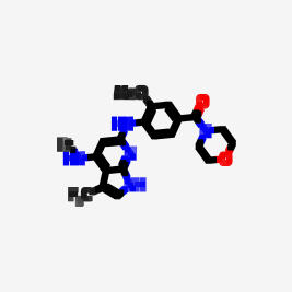 CCNc1cc(Nc2ccc(C(=O)N3CCOCC3)cc2OC)nc2[nH]cc(C(F)(F)F)c12